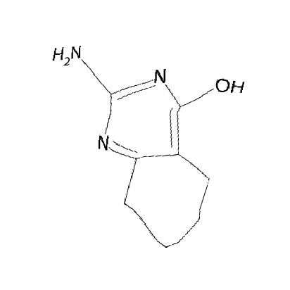 Nc1nc(O)c2c(n1)CCCC2